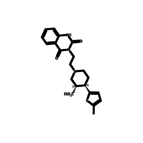 CCOC(=O)[C@@H]1CN(CCn2c(=O)[nH]c3ccccc3c2=O)CC[C@@H]1c1ccc(C)s1